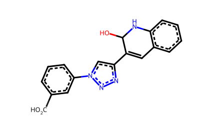 O=C(O)c1cccc(-n2cc(C3=Cc4ccccc4NC3O)nn2)c1